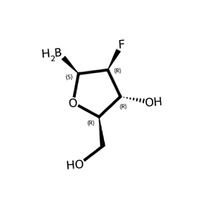 B[C@@H]1O[C@H](CO)[C@@H](O)[C@@H]1F